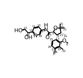 COc1c([C@@H]2[C@@H](C(=O)Nc3ccc([C@H](O)CO)nc3)OC(C)(C)[C@@H]2C)ccc(F)c1C